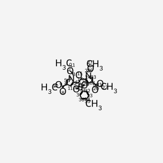 CCOCn1cc(C(=O)OC)cc1C(C(=O)c1cc(C(=O)OC)cn1COC)S(=O)(=O)c1ccc(C)cc1